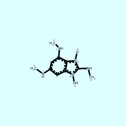 CNc1cc(NC)c2c(c1)n(O)c(NC)[n+]2[O-]